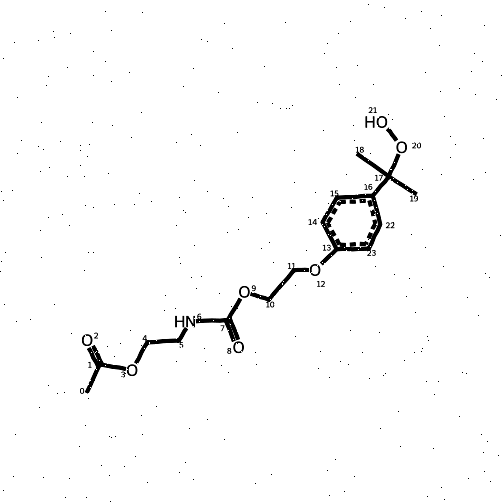 CC(=O)OCCNC(=O)OCCOc1ccc(C(C)(C)OO)cc1